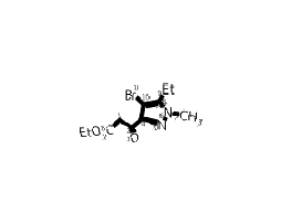 CCOC(=O)CC(=O)c1nn(C)c(CC)c1Br